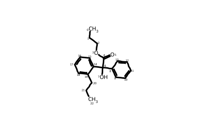 CCCOC(=O)C(O)(c1ccccc1)c1ccccc1CCC